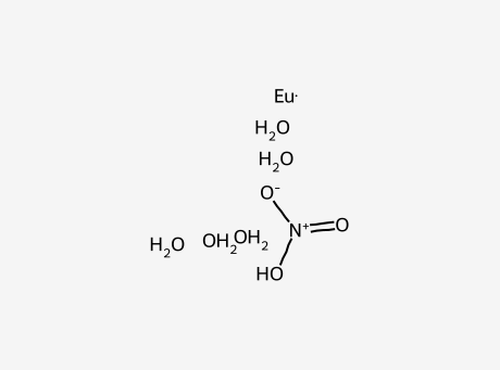 O.O.O.O.O.O=[N+]([O-])O.[Eu]